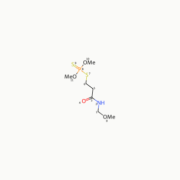 COCNC(=O)CCSP(=S)(OC)OC